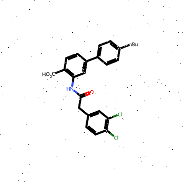 CCCCc1ccc(-c2ccc(C(=O)O)c(NC(=O)Cc3ccc(Cl)c(Cl)c3)c2)cc1